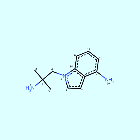 CC(C)(N)Cn1ccc2c(N)cccc21